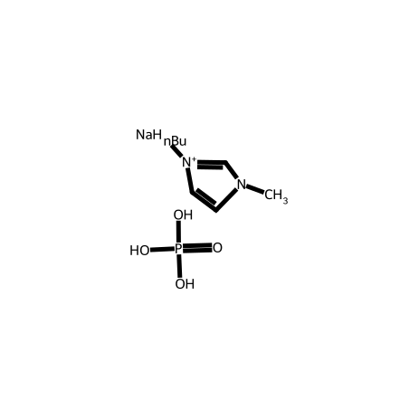 CCCC[n+]1ccn(C)c1.O=P(O)(O)O.[NaH]